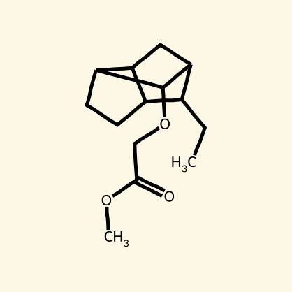 CCC1C2CCC3C2CC1C3OCC(=O)OC